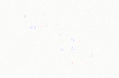 CCC(NS(=O)(=O)c1ccc(-c2sc(-c3noc(CC(C)(C)C(=O)O)n3)nc2CC2CCC2)c(C(F)F)c1F)C(F)(F)F